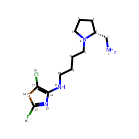 NC[C@H]1CCCN1CCCCNc1nc(F)sc1Cl